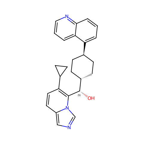 O[C@H](c1c(C2CC2)ccc2cncn12)[C@H]1CC[C@H](c2cccc3ncccc32)CC1